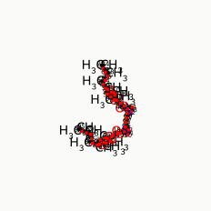 Cc1c(C)c2c(c(C)c1OC(=O)CCC(=O)OCC1CCCCN1CCSCSCCN1CCCCC1COC(=O)CCC(=O)Oc1c(C)c(C)c3c(c1C)CCC(C)(CCCC(C)CCCC(C)CCCC(C)C)O3)CCC(C)(CCCC(C)CCCC(C)CCCC(C)C)O2